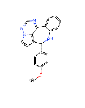 CCCOc1ccc(C2Nc3ccccc3-c3ncnn4ccc2c34)cc1